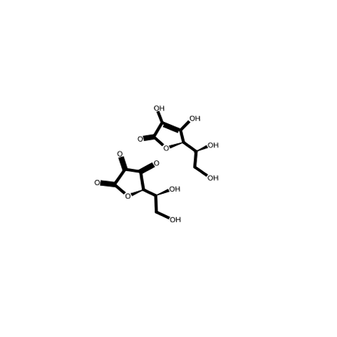 O=C1O[C@H]([C@@H](O)CO)C(=O)C1=O.O=C1O[C@H]([C@@H](O)CO)C(O)=C1O